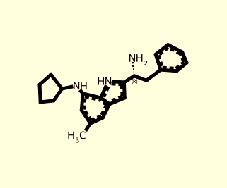 Cc1cc(NC2CCCC2)c2[nH]c([C@H](N)Cc3ccccc3)cc2c1